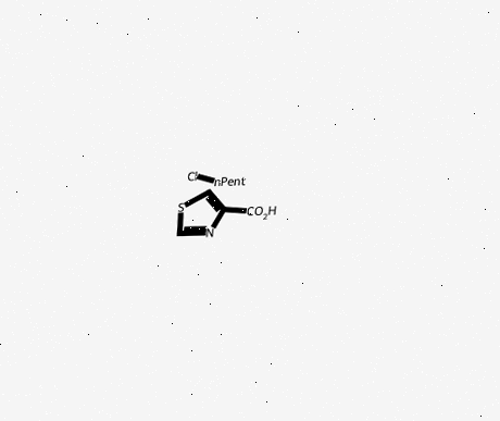 CCCCCCl.O=C(O)c1cscn1